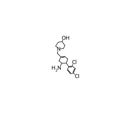 NC1CC(CN2CCC(O)CC2)=CCC1c1ccc(Cl)cc1Cl